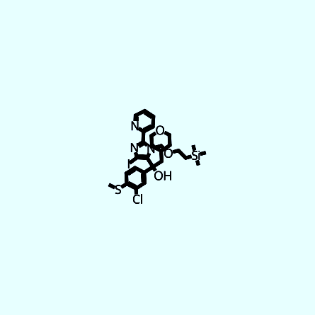 CSc1ccc(C(O)(CC2CCOCC2)c2c(I)nc(-c3ccccn3)n2COCC[Si](C)(C)C)cc1Cl